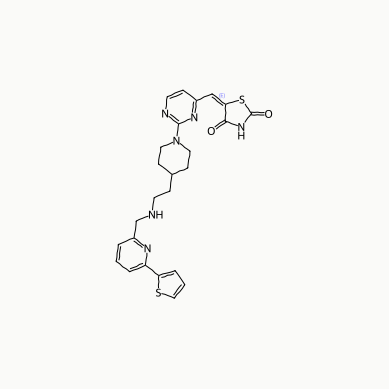 O=C1NC(=O)/C(=C\c2ccnc(N3CCC(CCNCc4cccc(-c5cccs5)n4)CC3)n2)S1